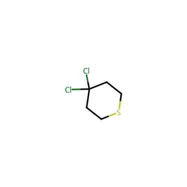 ClC1(Cl)CCSCC1